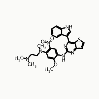 COc1cc(N(C)CCN(C)C)c([N+](=O)[O-])cc1Nc1nc(-c2c[nH]c3ccccc23)c2sccc2n1